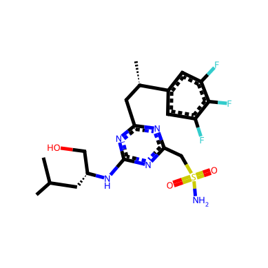 CC(C)C[C@H](CO)Nc1nc(C[C@H](C)c2cc(F)c(F)c(F)c2)nc(CS(N)(=O)=O)n1